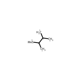 CS[C](C)C(C)C